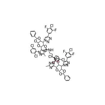 Cc1nc(C2OC3OC(c4ccccc4)OC3C(n3cc(-c4cc(F)c(Cl)c(F)c4)nn3)C2OC(=O)NCCCNC(=O)OC2C(c3nc(C)nn3-c3cc(Cl)ccc3Cl)OC3OC(c4ccccc4)OC3C2n2cc(-c3cc(F)c(Cl)c(F)c3)nn2)n(-c2cc(Cl)ccc2Cl)n1